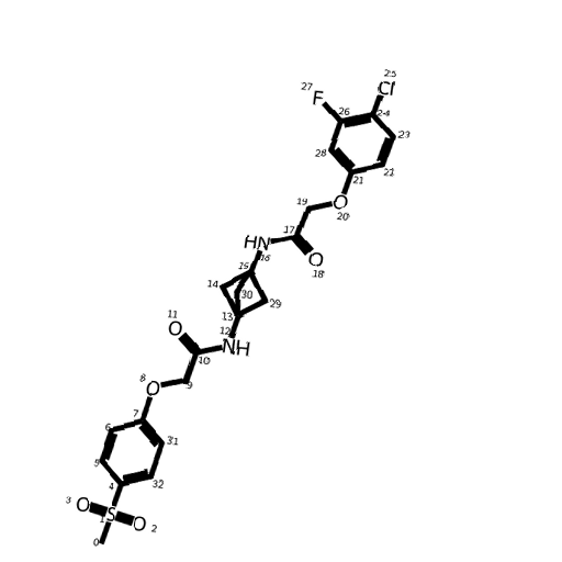 CS(=O)(=O)c1ccc(OCC(=O)NC23CC(NC(=O)COc4ccc(Cl)c(F)c4)(C2)C3)cc1